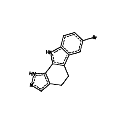 Brc1ccc2[nH]c3c(c2c1)CCc1cn[nH]c1-3